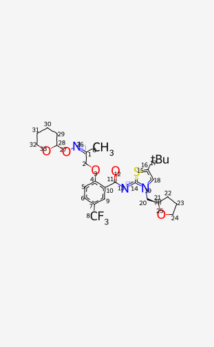 C/C(COc1ccc(C(F)(F)F)cc1C(=O)/N=c1\sc(C(C)(C)C)cn1C[C@H]1CCCO1)=N/OC1CCCCO1